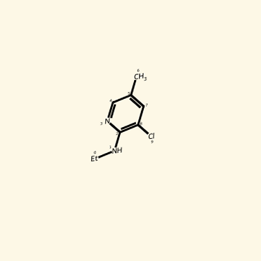 CCNc1ncc(C)cc1Cl